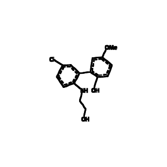 COc1ccc(O)c(-c2cc(Cl)ccc2NCCO)c1